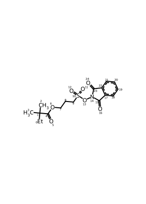 CCC(C)(C)C(=O)OCCCS(=O)(=O)ON1C(=O)c2ccccc2C1=O